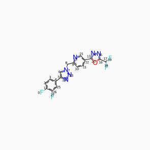 Fc1ccc(-c2cn(Cc3ccc(-c4nnc(C(F)F)o4)cn3)nn2)cc1F